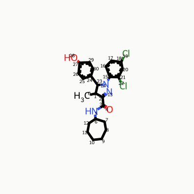 CC1C(C(=O)NC2CCCCCC2)=NN(c2ccc(Cl)cc2Cl)C1c1ccc(O)cc1